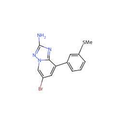 CSc1cccc(-c2cc(Br)cn3nc(N)nc23)c1